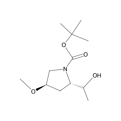 CO[C@@H]1C[C@@H](C(C)O)N(C(=O)OC(C)(C)C)C1